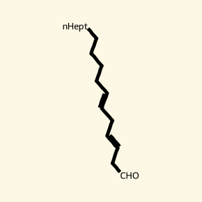 CCCCCCCCCCCC=CCC=CCC=O